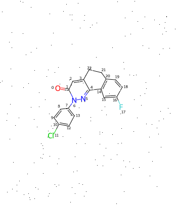 O=c1cc2c(nn1-c1ccc(Cl)cc1)-c1cc(F)ccc1CC2